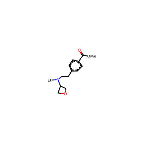 CCN(CCc1ccc(C(=O)OC)cc1)C1COC1